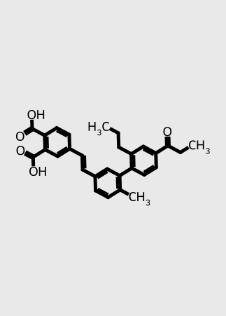 CCCc1cc(C(=O)CC)ccc1-c1cc(C=Cc2ccc(C(=O)O)c(C(=O)O)c2)ccc1C